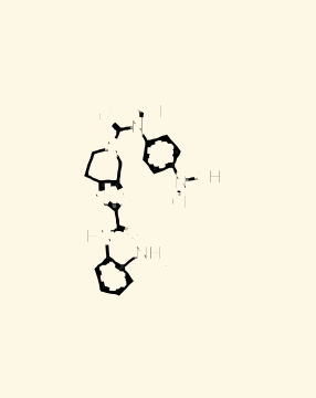 CN(C)c1ccc(N(C)C(=O)N2CCc3nc(C(=O)Nc4ccccc4N)sc3C2)cc1